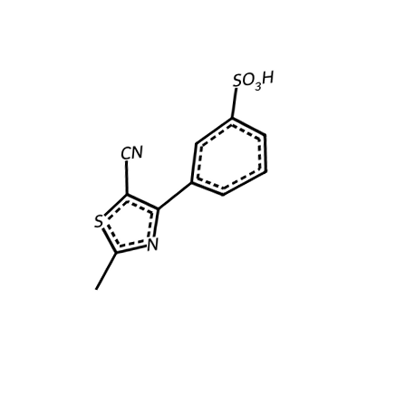 Cc1nc(-c2cccc(S(=O)(=O)O)c2)c(C#N)s1